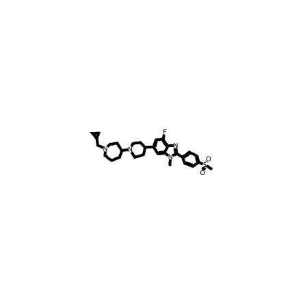 Cn1c(-c2ccc(S(C)(=O)=O)cc2)nc2c(F)cc(C3CCN(C4CCCN(CC5CC5)CC4)CC3)cc21